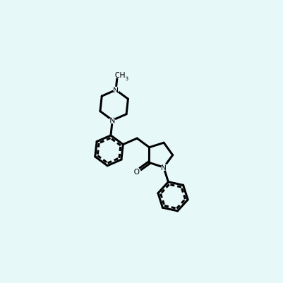 CN1CCN(c2ccccc2CC2CCN(c3ccccc3)C2=O)CC1